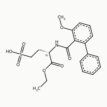 CCOC(=O)[C@H](CCS(=O)(=O)O)NC(=O)c1c(OC)cccc1-c1ccccc1